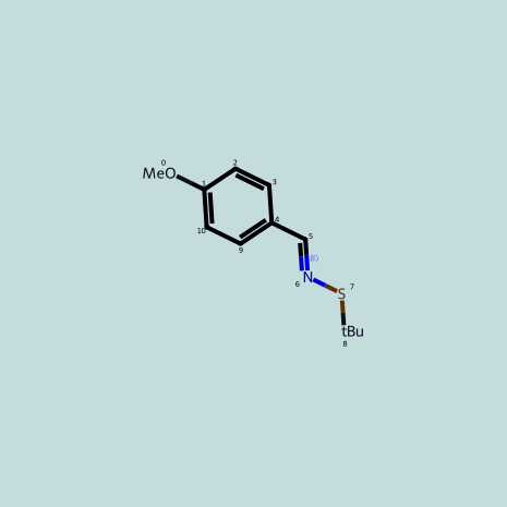 COc1ccc(/C=N/SC(C)(C)C)cc1